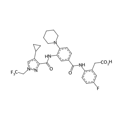 O=C(O)Cc1cc(F)ccc1NC(=O)c1ccc(N2CCCCC2)c(NC(=O)c2nn(CC(F)(F)F)cc2C2CC2)c1